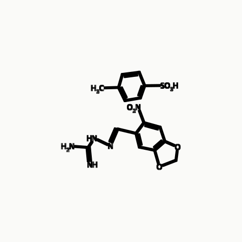 Cc1ccc(S(=O)(=O)O)cc1.N=C(N)N/N=C/c1cc2c(cc1[N+](=O)[O-])OCO2